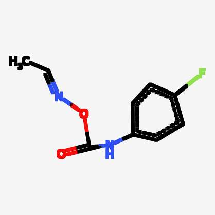 C/C=N/OC(=O)Nc1ccc(F)cc1